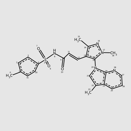 Cc1ccc(S(=O)(=O)NC(=O)/C=C/c2c(C)nn(C)c2-n2cc(C)c3cccnc32)cc1